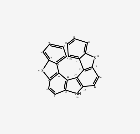 c1ccc2c(c1)sc1ccc3[nH]c4ccc5sc6ccccc6c5c4c3c12